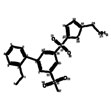 CCc1ccccc1-c1cc(S(C)(=O)=O)cc(S(=O)(=O)c2ccc(CN)s2)c1